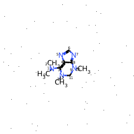 CN(C)C1=C2N=CN=C2N(C)CN1C